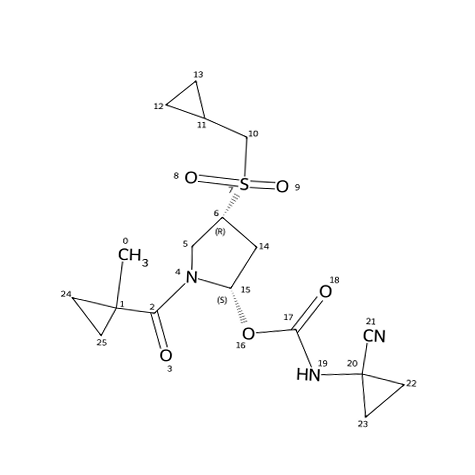 CC1(C(=O)N2C[C@H](S(=O)(=O)CC3CC3)C[C@@H]2OC(=O)NC2(C#N)CC2)CC1